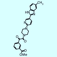 COC(=O)c1cccc(C(=O)C(=O)N2CCN(c3ccc(-c4nc5cc(C)ccc5[nH]4)cn3)CC2)c1